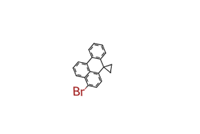 Brc1ccc2c3c(cccc13)-c1ccccc1C21CC1